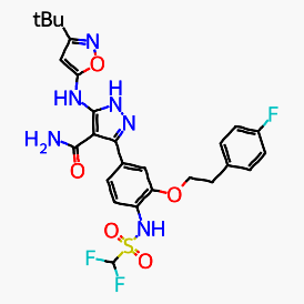 CC(C)(C)c1cc(Nc2[nH]nc(-c3ccc(NS(=O)(=O)C(F)F)c(OCCc4ccc(F)cc4)c3)c2C(N)=O)on1